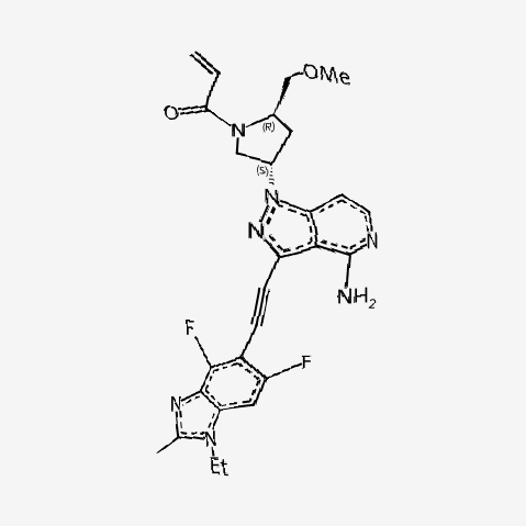 C=CC(=O)N1C[C@@H](n2nc(C#Cc3c(F)cc4c(nc(C)n4CC)c3F)c3c(N)nccc32)C[C@@H]1COC